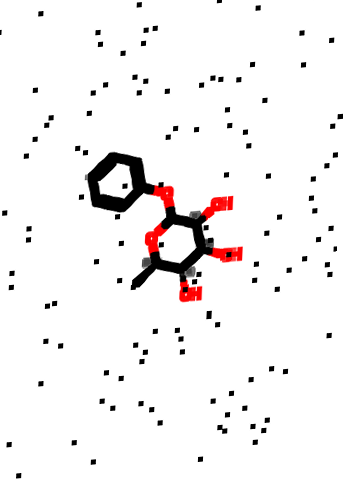 C[C@H]1OC(Oc2cc[c]cc2)[C@@H](O)[C@@H](O)[C@@H]1O